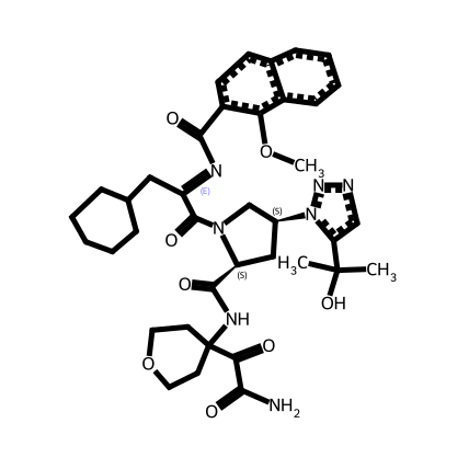 COc1c(C(=O)/N=C(\CC2CCCCC2)C(=O)N2C[C@@H](n3nncc3C(C)(C)O)C[C@H]2C(=O)NC2(C(=O)C(N)=O)CCOCC2)ccc2ccccc12